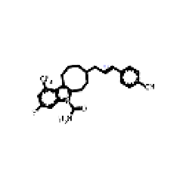 N#Cc1ccc(/C=C/CC2CCCc3c(n(C(N)=O)c4cc(F)cc(C(F)(F)F)c34)CC2)cc1